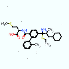 CCSC(N)(c1ccc(C(=O)NC(CCSC)C(=O)O)c(-c2ccccc2C)c1)C(C)CC1CCCCC1